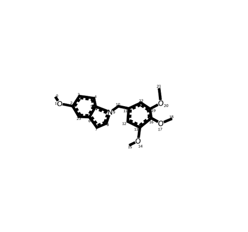 COc1ccc2c(ccn2Cc2cc(OC)c(OC)c(OC)c2)c1